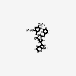 COc1ccc(Cn2cc(Cc3cccc(C(=O)O)c3)n3cc(-c4c[nH]c5ncccc45)cc3c2=O)c(OC)c1